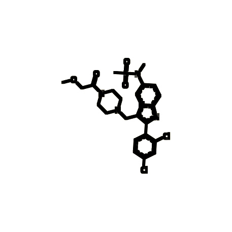 COCC(=O)N1CCN(Cc2c(-c3ccc(Cl)cc3Cl)nc3ccc(N(C)S(C)(=O)=O)cn23)CC1